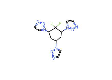 FC1(F)C(n2ccnn2)[CH]C(n2ccnn2)CC1n1ccnn1